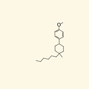 CCCCCCC1(C)CCC(c2ccc(OC)cc2)CC1